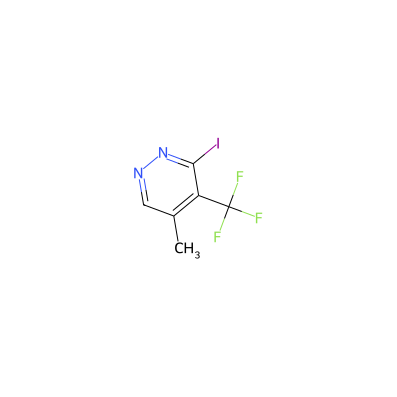 Cc1cnnc(I)c1C(F)(F)F